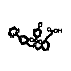 O=C(O)CCc1cccc(CN(Cc2ccc(-c3ncccn3)cc2)S(=O)(=O)c2ccc(Cl)cc2)c1